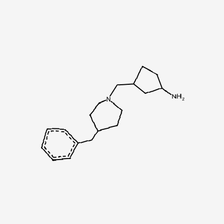 NC1CCC(CN2CCC(Cc3ccccc3)CC2)C1